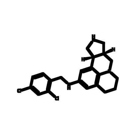 Clc1ccc(CNc2cc3c4c(c2)[C@@H]2CNC[C@@H]2CN4CCC3)c(Cl)c1